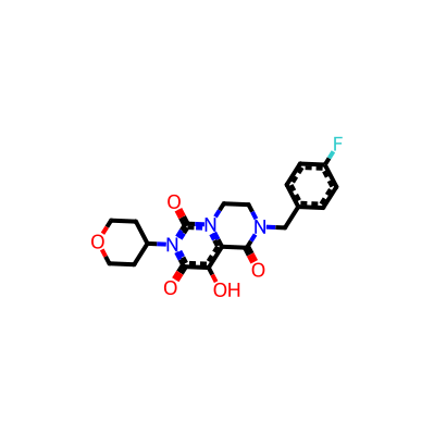 O=C1c2c(O)c(=O)n(C3CCOCC3)c(=O)n2CCN1Cc1ccc(F)cc1